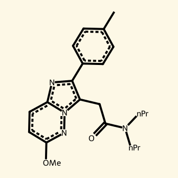 CCCN(CCC)C(=O)Cc1c(-c2ccc(C)cc2)nc2ccc(OC)nn12